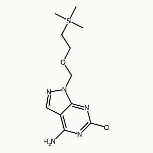 C[Si](C)(C)CCOCn1ncc2c(N)nc(Cl)nc21